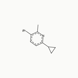 Cc1nc(C2CC2)ccc1C(C)C